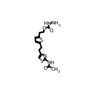 CC(=O)Nc1nc(CCc2ccc(CCOC(=O)NN)s2)cs1